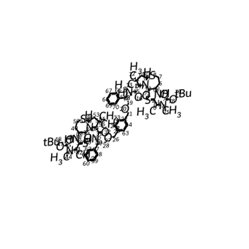 C[C@@H](C(=S)N[C@H]1CCS[C@H]2CC(C)(C)[C@@H](C(=O)N[C@H](COCc3ccc(COC[C@@H](NC(=O)[C@H]4N5C(=O)[C@@H](NC(=S)[C@H](C)N(C)C(=O)OC(C)(C)C)CCS[C@H]5CC4(C)C)c4ccccc4)cc3)c3ccccc3)N2C1=O)N(C)C(=O)OC(C)(C)C